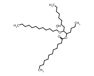 CCCCCCCCCCCC(=O)OC(CCCC)C(CCCCCCCC)O[C@@H](O)CCCCCCCCCCC